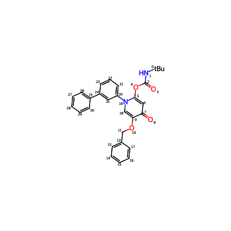 CC(C)(C)NC(=O)Oc1cc(=O)c(OCc2ccccc2)cn1-c1cccc(-c2ccccc2)c1